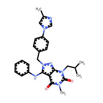 Cc1cn(-c2ccc(Cn3nc4c(c3Nc3ccccc3)c(=O)n(C)c(=O)n4CC(C)C)cc2)cn1